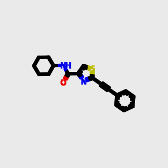 O=C(NC1CCCCC1)c1csc(C#Cc2ccccc2)n1